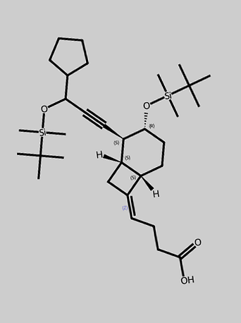 CC(C)(C)[Si](C)(C)OC(C#C[C@@H]1[C@H]2C/C(=C/CCC(=O)O)[C@H]2CC[C@H]1O[Si](C)(C)C(C)(C)C)C1CCCC1